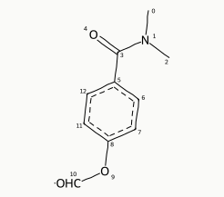 CN(C)C(=O)c1ccc(O[C]=O)cc1